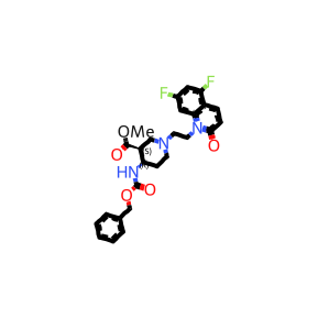 COC(=O)[C@H]1CN(CCn2c(=O)ccc3c(F)cc(F)cc32)CC[C@H]1NC(=O)OCc1ccccc1